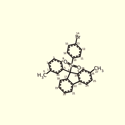 Cc1cccc(C2(S(=O)(=O)c3ccc(Br)cc3)c3ccccc3-c3ccc(C)cc32)c1